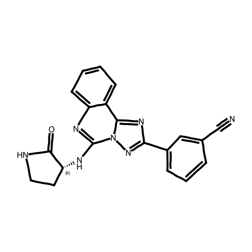 N#Cc1cccc(-c2nc3c4ccccc4nc(N[C@@H]4CCNC4=O)n3n2)c1